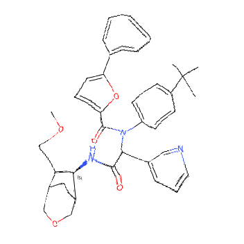 COCC1C2COCC(C2)[C@@H]1NC(=O)C(c1cccnc1)N(C(=O)c1ccc(-c2ccccc2)o1)c1ccc(C(C)(C)C)cc1